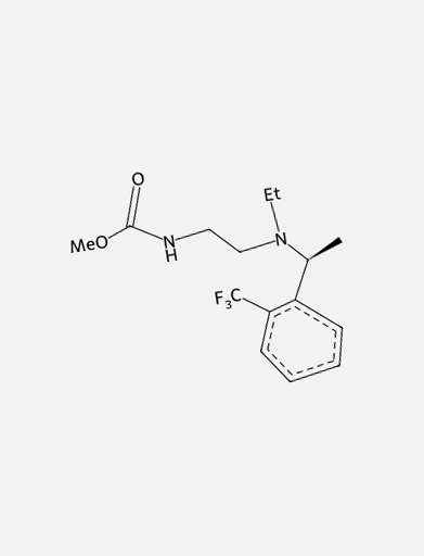 CCN(CCNC(=O)OC)[C@@H](C)c1ccccc1C(F)(F)F